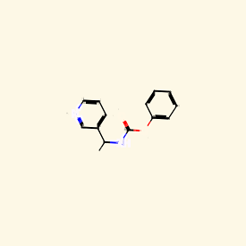 CCC(NC(=O)Oc1ccccc1)c1cccnc1